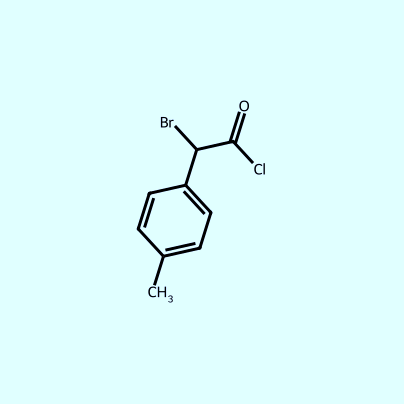 Cc1ccc(C(Br)C(=O)Cl)cc1